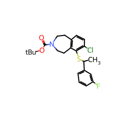 CC(Sc1c(Cl)ccc2c1CCN(C(=O)OC(C)(C)C)CC2)c1cccc(F)c1